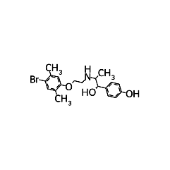 Cc1cc(OCCNC(C)[C@H](O)c2ccc(O)cc2)c(C)cc1Br